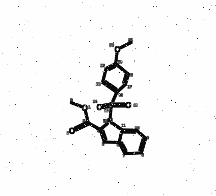 COC(=O)c1cc2ccccc2n1S(=O)(=O)c1ccc(OC)cc1